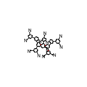 N#Cc1cc(C#N)cc(-c2ccc3c(c2)c2cc(-c4cc(C#N)cc(C#N)c4)ccc2n3-c2cc(C#N)cc(-n3c4ccc(-c5cc(C#N)cc(C#N)c5)cc4c4cc(-c5cc(C#N)cc(C#N)c5)ccc43)c2-c2cccc(C#N)c2)c1